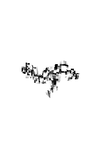 CC(C)n1nc(-c2cc(OC(F)F)ccn2)c2ncc(C(=O)NC3(C)CS(=O)(=O)C3)cc21